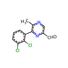 Cc1ncc(C=O)nc1-c1cccc(Cl)c1Cl